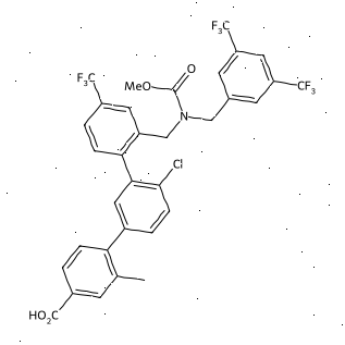 COC(=O)N(Cc1cc(C(F)(F)F)cc(C(F)(F)F)c1)Cc1cc(C(F)(F)F)ccc1-c1cc(-c2ccc(C(=O)O)cc2C)ccc1Cl